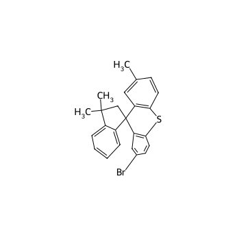 Cc1ccc2c(c1)C1(CC(C)(C)c3ccccc31)c1cc(Br)ccc1S2